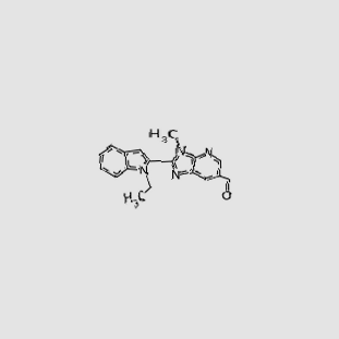 CCn1c(-c2nc3cc(C=O)cnc3n2C)cc2ccccc21